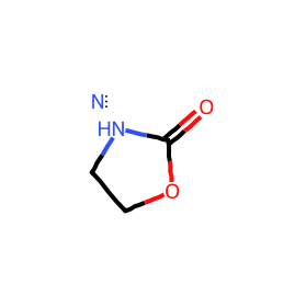 O=C1NCCO1.[N]